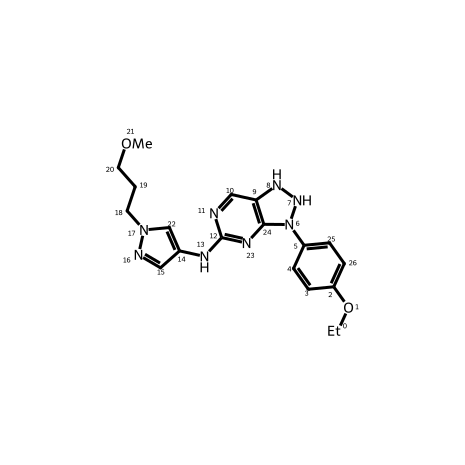 CCOc1ccc(N2NNc3cnc(Nc4cnn(CCCOC)c4)nc32)cc1